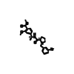 COC(=O)c1ccc([C@H](C)NC(=O)[C@H]2CCCN2Cc2cccc(Br)c2)cc1OC